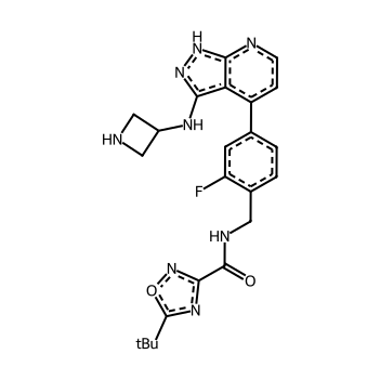 CC(C)(C)c1nc(C(=O)NCc2ccc(-c3ccnc4[nH]nc(NC5CNC5)c34)cc2F)no1